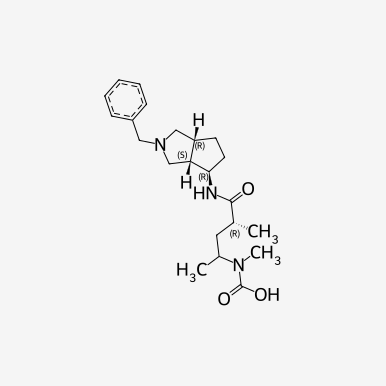 CC(C[C@@H](C)C(=O)N[C@@H]1CC[C@H]2CN(Cc3ccccc3)C[C@H]21)N(C)C(=O)O